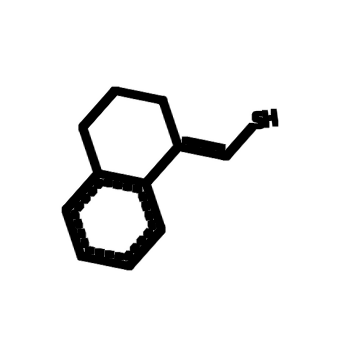 SC=C1CCCc2ccccc21